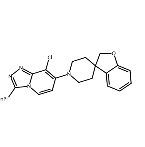 CCCc1nnc2c(Cl)c(N3CCC4(CC3)COc3ccccc34)ccn12